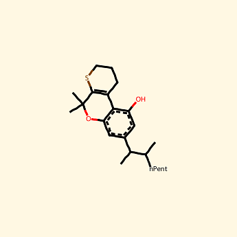 CCCCCC(C)C(C)c1cc(O)c2c(c1)OC(C)(C)C1=C2CCCS1